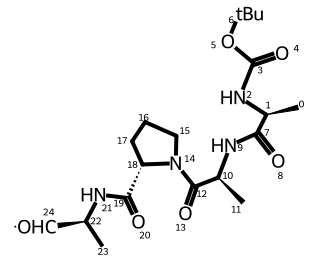 C[C@H](NC(=O)OC(C)(C)C)C(=O)N[C@@H](C)C(=O)N1CCC[C@H]1C(=O)N[C@@H](C)[C]=O